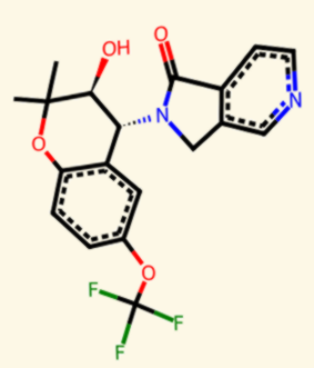 CC1(C)Oc2ccc(OC(F)(F)F)cc2[C@@H](N2Cc3cnccc3C2=O)[C@@H]1O